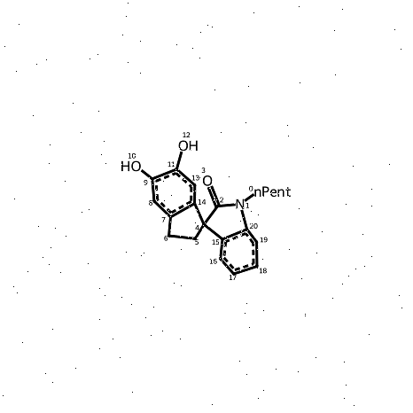 CCCCCN1C(=O)C2(CCc3cc(O)c(O)cc32)c2ccccc21